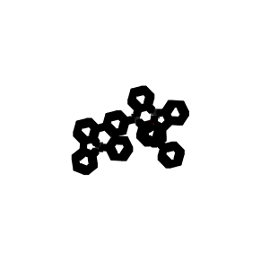 c1ccc(-c2ccc(N(c3ccc(-c4cccc5c6ccccc6n(-c6ccccc6)c45)cc3)c3ccccc3-n3c4ccccc4c4ccccc43)cc2)cc1